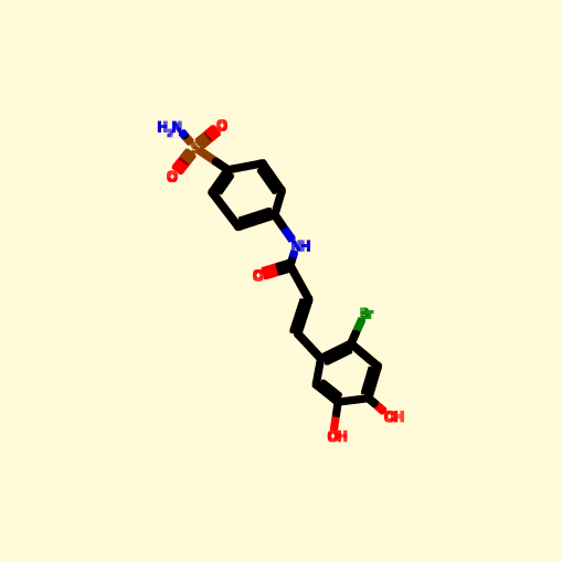 NS(=O)(=O)c1ccc(NC(=O)/C=C/c2cc(O)c(O)cc2Br)cc1